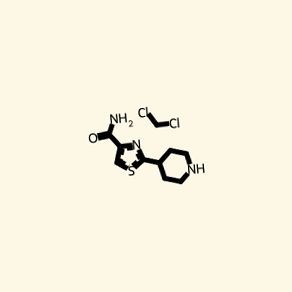 ClCCl.NC(=O)c1csc(C2CCNCC2)n1